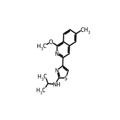 COc1nc(-c2csc(NC(C)C)n2)cc2cc(C)ccc12